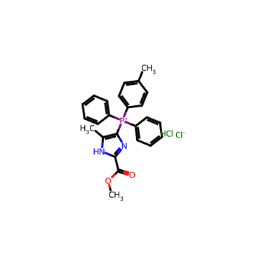 COC(=O)c1nc([P+](c2ccccc2)(c2ccccc2)c2ccc(C)cc2)c(C)[nH]1.Cl.[Cl-]